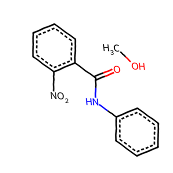 CO.O=C(Nc1ccccc1)c1ccccc1[N+](=O)[O-]